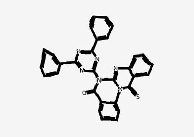 O=c1c2ccccc2n2c(=S)c3ccccc3nc2n1-c1nc(-c2ccccc2)nc(-c2ccccc2)n1